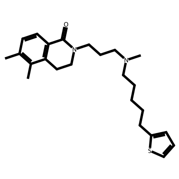 Cc1ccc2c(c1C)CCN(CCCN(C)CCCCCc1cccs1)C2=O